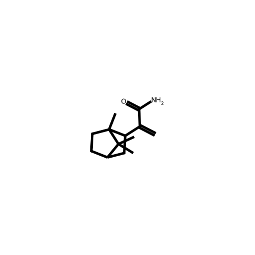 C=C(C(N)=O)C1CC2CCC1(C)C2(C)C